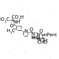 CCCCC[C@@H](C(=O)NCNC(=O)c1cccc(-c2ccc(C(=O)N[C@@H](CC(=O)O)C(=O)O)c(C)c2)n1)[C@@H](CC)N(O)C=O